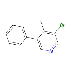 Cc1c(Br)cncc1-c1ccccc1